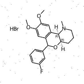 Br.COc1cc2c(cc1OC)[C@@H]1[C@@H](CCCN1C)OC2c1cccc(F)c1